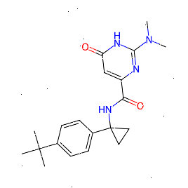 CN(C)c1nc(C(=O)NC2(c3ccc(C(C)(C)C)cc3)CC2)cc(=O)[nH]1